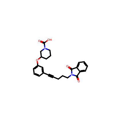 O=C(O)N1CCCC(Oc2cccc(C#CCCCN3C(=O)c4ccccc4C3=O)c2)C1